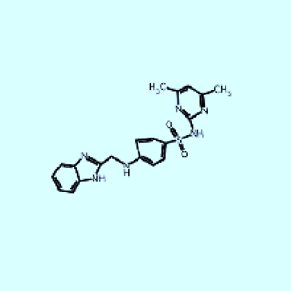 Cc1cc(C)nc(NS(=O)(=O)c2ccc(NCc3nc4ccccc4[nH]3)cc2)n1